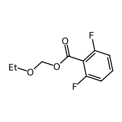 CCOCOC(=O)c1c(F)cccc1F